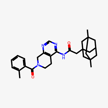 Cc1ccccc1C(=O)N1CCc2c(ncnc2NC(=O)CC23CC4CC(C)(CC(C)(C4)C2)C3)C1